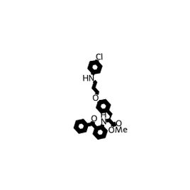 COC(=O)[C@H](Cc1ccc(OCCCNc2ccc(Cl)cc2)cc1)Nc1ccccc1C(=O)c1ccccc1